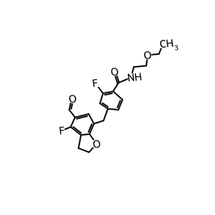 CCOCCNC(=O)c1ccc(Cc2cc(C=O)c(F)c3c2OCC3)cc1F